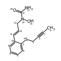 CC#CCSc1ccccc1C=CCN(O)C(N)=O